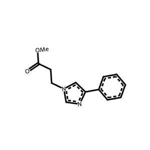 COC(=O)CCn1cnc(-c2ccccc2)c1